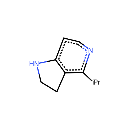 CC(C)c1nccc2c1CCN2